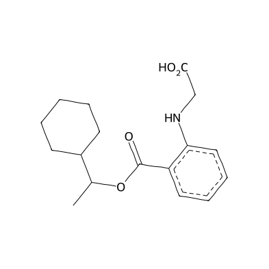 CC(OC(=O)c1ccccc1NCC(=O)O)C1CCCCC1